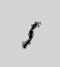 C=C(C)C(=O)OCCNC(=O)OCCSc1ccc(S(=O)(=O)c2ccc(SCCOC(=O)NCCO)cc2)cc1